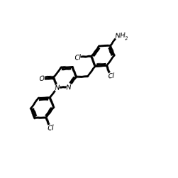 Nc1cc(Cl)c(Cc2ccc(=O)n(-c3cccc(Cl)c3)n2)c(Cl)c1